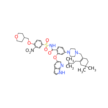 C=C(C)CCC1=C(CN2CCN(c3ccc(C(=O)NS(=O)(=O)c4ccc(OCC5CCOCC5)c([N+](=O)[O-])c4)c(Oc4cnc5[nH]ccc5c4)c3)CC2)CCC(C)(C)C1